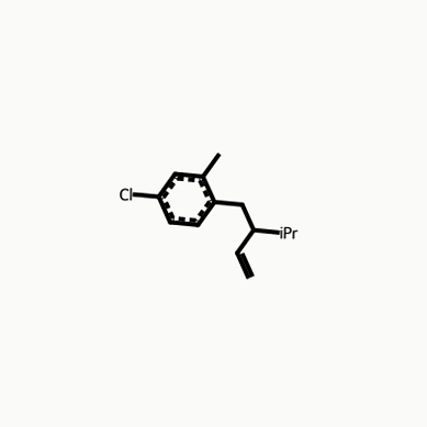 C=CC(Cc1ccc(Cl)cc1C)C(C)C